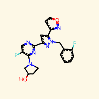 OC1CCN(c2nc(-c3cc(-c4ccon4)n(Cc4ccccc4F)n3)ncc2F)C1